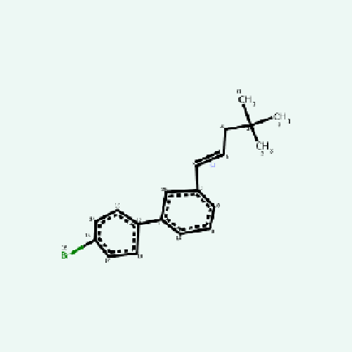 CC(C)(C)C/C=C/c1cccc(-c2ccc(Br)cc2)c1